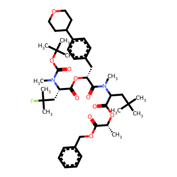 C[C@@H](OC(=O)C(CC(C)(C)C)N(C)C(=O)[C@@H](Cc1ccc(C2CCOCC2)cc1)OC(=O)[C@H](CC(C)(C)F)N(C)C(=O)OC(C)(C)C)C(=O)OCc1ccccc1